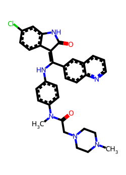 CN1CCN(CC(=O)N(C)c2ccc(NC(=C3C(=O)Nc4cc(Cl)ccc43)c3ccc4ncccc4c3)cc2)CC1